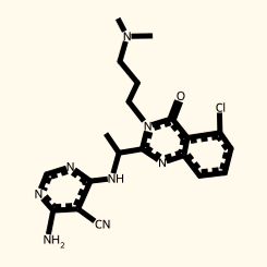 CC(Nc1ncnc(N)c1C#N)c1nc2cccc(Cl)c2c(=O)n1CCCN(C)C